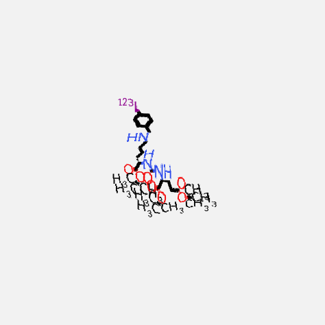 CC(C)(C)OC(=O)CC[C@H](NC(=O)N[C@@H](CCCCNCc1ccc([123I])cc1)C(=O)OC(C)(C)C)C(=O)OC(C)(C)C